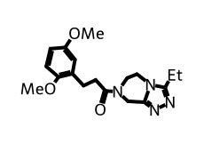 CCc1nnc2n1CCN(C(=O)CCc1cc(OC)ccc1OC)C2